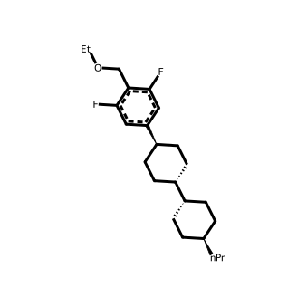 CCC[C@H]1CC[C@H]([C@H]2CC[C@H](c3cc(F)c(COCC)c(F)c3)CC2)CC1